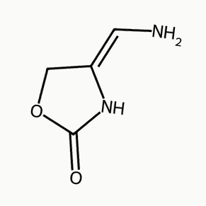 NC=C1COC(=O)N1